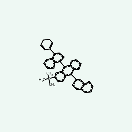 CS(C)(C)c1ccc2c(-c3ccc4ccccc4c3)c3ccccc3c(-c3ccc(C4=CCCC=C4)c4ccccc34)c2c1